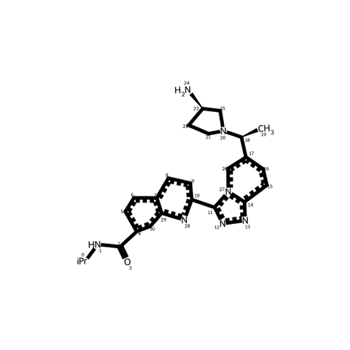 CC(C)NC(=O)c1ccc2ccc(-c3nnc4ccc([C@H](C)N5CC[C@@H](N)C5)cn34)nc2c1